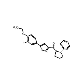 CCOc1ccc(-c2cc(C(=O)N3CCC[C@H]3c3ccccc3)no2)cc1F